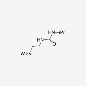 CSCCNC(=O)NC(C)C